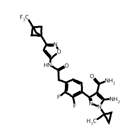 CC1(n2nc(-c3ccc(CC(=O)Nc4cc(C56CC(C(F)(F)F)(C5)C6)no4)c(F)c3F)c(C(N)=O)c2N)CC1